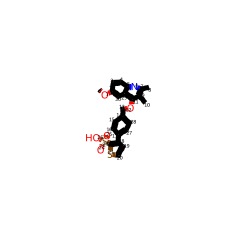 COc1ccc2nc(C)c(C)c(OCc3ccc(-c4ccsc4S(=O)(=O)O)cc3)c2c1